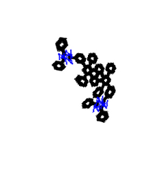 c1ccc(-c2nc(-c3ccccc3)nc(-c3cccc(-c4cc(-c5ccccc5)c5c6cccc7c8c(-c9ccccc9)c(-c9cccc(-c%10nc(-c%11ccccc%11)nc(-c%11ccccc%11)n%10)c9)cc(-c9ccccc9)c8c8cccc(c5c4-c4ccccc4)c8c67)c3)n2)cc1